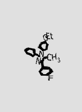 CCOc1ccc(N2C(C)C(c3ccc(F)cc3)=NC2c2ccccc2)cc1